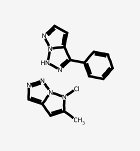 Cc1cc2cnnn2n1Cl.c1ccc(-c2n[nH]n3nccc23)cc1